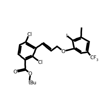 Cc1cc(C(F)(F)F)cc(OCC=Cc2c(Cl)ccc(C(=O)OC(C)(C)C)c2Cl)c1I